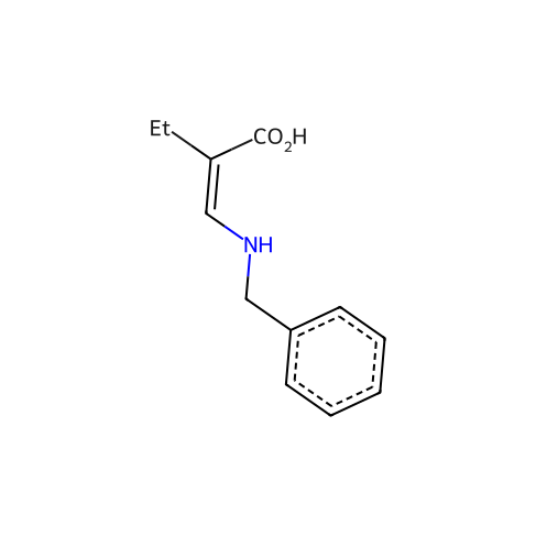 CC/C(=C/NCc1ccccc1)C(=O)O